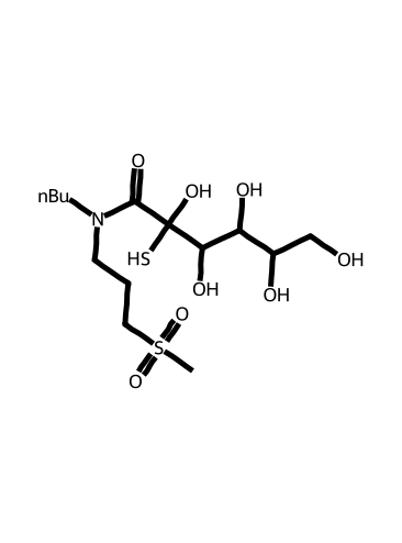 CCCCN(CCCS(C)(=O)=O)C(=O)C(O)(S)C(O)C(O)C(O)CO